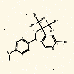 COc1ccc(COC(c2cccc(O)c2)(C(F)(F)F)C(F)(F)F)cc1